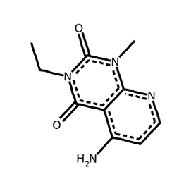 CCn1c(=O)c2c(N)ccnc2n(C)c1=O